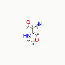 N#CC(C=O)C1COCCN1